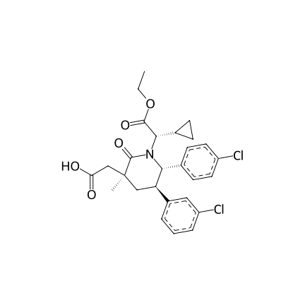 CCOC(=O)[C@H](C1CC1)N1C(=O)[C@](C)(CC(=O)O)C[C@H](c2cccc(Cl)c2)[C@H]1c1ccc(Cl)cc1